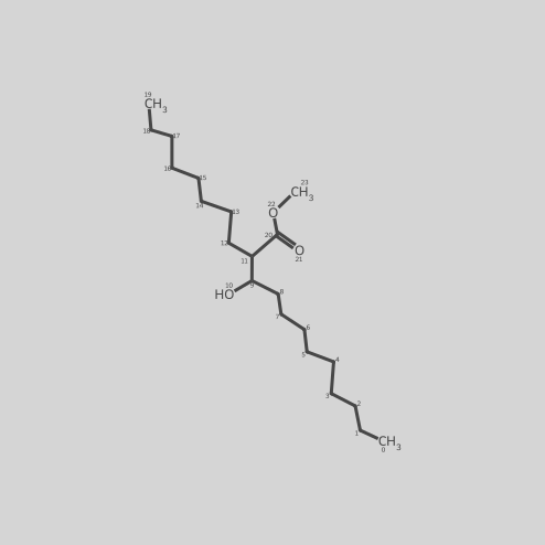 CCCCCCCCCC(O)C(CCCCCCCC)C(=O)OC